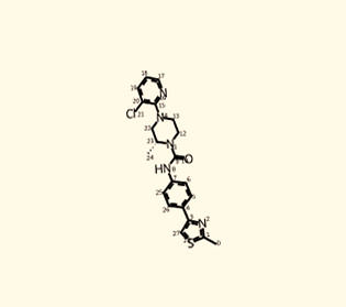 Cc1nc(-c2ccc(NC(=O)N3CCN(c4ncccc4Cl)C[C@H]3C)cc2)cs1